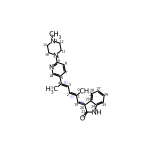 CC(=C\C=C(/C)c1ccc(N2CCN(C)CC2)nc1)/C=C1/C(=O)Nc2ccccc21